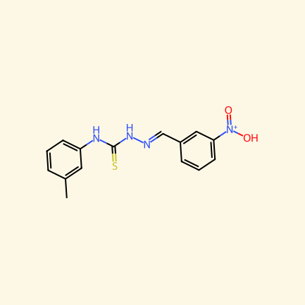 Cc1cccc(NC(=S)N/N=C/c2cccc([N+](=O)O)c2)c1